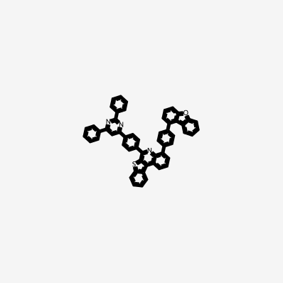 c1ccc(-c2cc(-c3ccc(-c4nc5c(-c6ccc(-c7cccc8oc9ccccc9c78)cc6)cccc5c5c4sc4ccccc45)cc3)nc(-c3ccccc3)n2)cc1